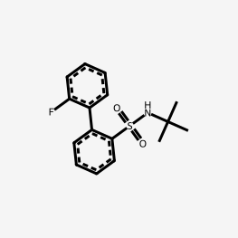 CC(C)(C)NS(=O)(=O)c1ccccc1-c1ccccc1F